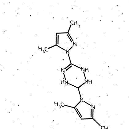 Cc1cc(C)n(C2=NNC(n3nc(C)cc3C)NN2)n1